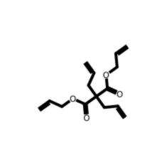 C=CCOC(=O)C(CC=C)(CC=C)C(=O)OCC=C